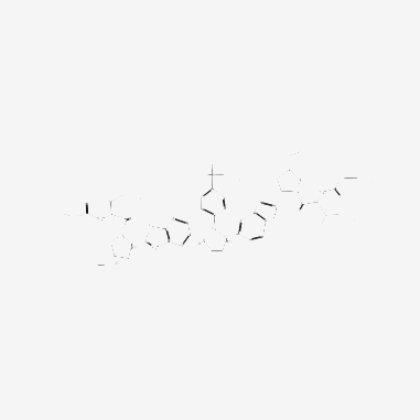 COC(=O)NC(C(=O)N1C[C@@H](OC)C[C@H]1c1nc2cc([C@H]3CC[C@H](c4ccc5[nH]c([C@@H]6C[C@H](OC)CN6C(=O)[C@@H](NC(=O)OC)C(C)C)nc5c4)N3c3ccc(C(C)(C)C)cc3)ccc2[nH]1)C(C)C